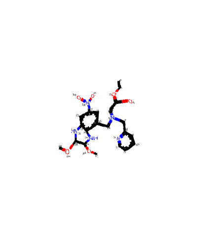 CCOC(=O)CN(Cc1ccccn1)Cc1cc([N+](=O)[O-])cc2c1NC(OC)C(OC)N2